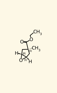 CCOC(=O)[C@@]1(C)C[C@@H]2O[C@@H]2C1